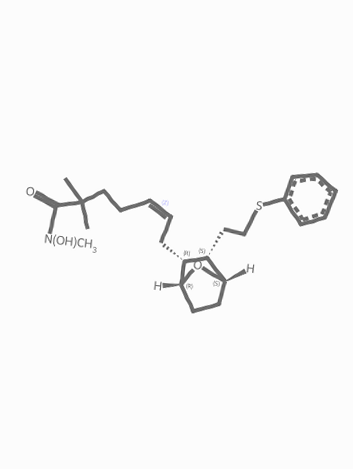 CN(O)C(=O)C(C)(C)CC/C=C\C[C@@H]1[C@H](CCSc2ccccc2)[C@@H]2CC[C@H]1O2